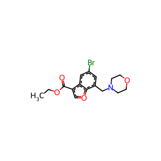 CCOC(=O)c1coc2c(CN3CCOCC3)cc(Br)cc12